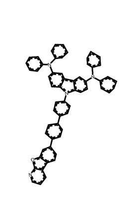 c1ccc(N(c2ccccc2)c2ccc3c(c2)c2cc(N(c4ccccc4)c4ccccc4)ccc2n3-c2ccc(-c3ccc(-c4ccc5c(c4)oc4ncccc45)cc3)cc2)cc1